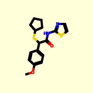 COc1ccc(C(SC2CCCC2)C(=O)Nc2nccs2)cc1